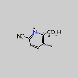 Cc1ccc(C#N)nc1C(=O)O